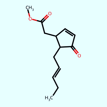 CCC=CCC1C(=O)C=CC1CC(=O)OC